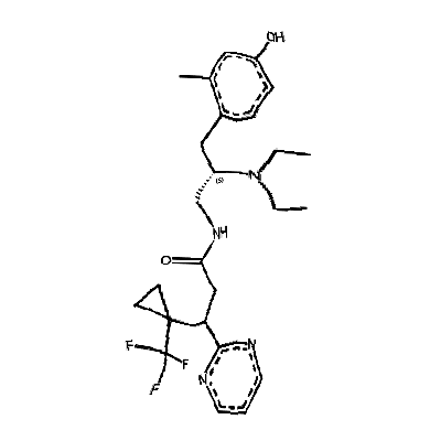 CCN(CC)[C@H](CNC(=O)CC(c1ncccn1)C1(C(F)(F)F)CC1)Cc1ccc(O)cc1C